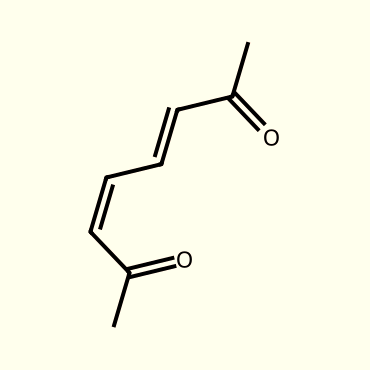 CC(=O)/C=C\C=C\C(C)=O